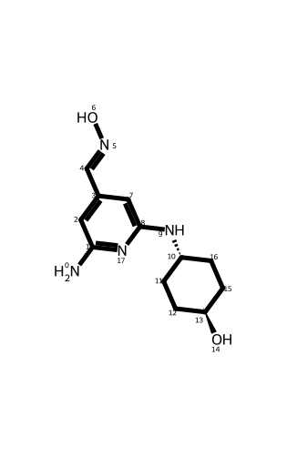 Nc1cc(/C=N/O)cc(N[C@H]2CC[C@H](O)CC2)n1